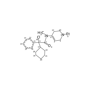 CCN1CC=C(N(C)C(=O)C(Cl)(c2ccccc2)C2CCCCC2)CC1